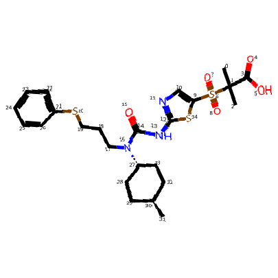 CC(C)(C(=O)O)S(=O)(=O)c1cnc(NC(=O)N(CCCSc2ccccc2)[C@H]2CC[C@H](C)CC2)s1